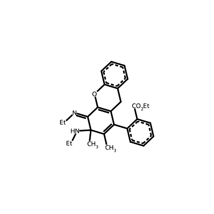 CCN=C1C2=C(Cc3ccccc3O2)C(c2ccccc2C(=O)OCC)=C(C)C1(C)NCC